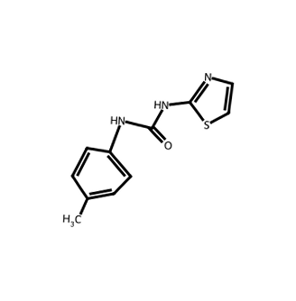 Cc1ccc(NC(=O)Nc2nccs2)cc1